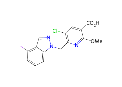 COc1nc(Cn2ncc3c(I)cccc32)c(Cl)cc1C(=O)O